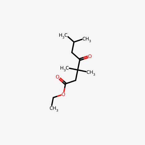 CCOC(=O)CC(C)(C)C(=O)CC(C)C